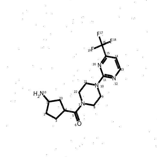 NC1CCC(C(=O)N2CCN(c3nccc(C(F)(F)F)n3)CC2)C1